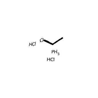 CCCl.Cl.Cl.P